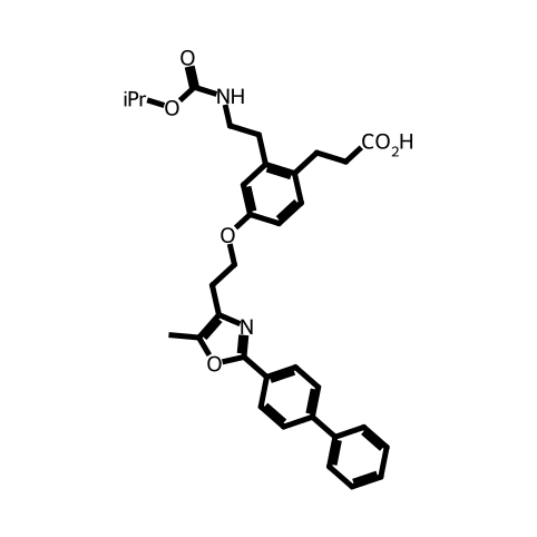 Cc1oc(-c2ccc(-c3ccccc3)cc2)nc1CCOc1ccc(CCC(=O)O)c(CCNC(=O)OC(C)C)c1